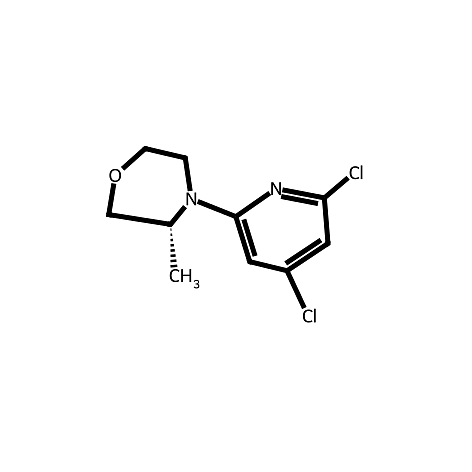 C[C@@H]1COCCN1c1cc(Cl)cc(Cl)n1